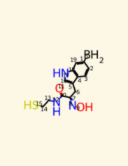 Bc1ccc2c(C/C(=N\O)C(=O)NCCS)c[nH]c2c1